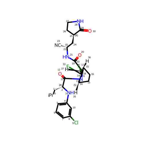 CC(C)C[C@@H](Nc1cccc(Cl)c1)C(=O)N1[C@H]2CC[C@@H]([C@H]1C(=O)N[C@H](C#N)C[C@H]1CCNC1=O)C(F)(F)C2